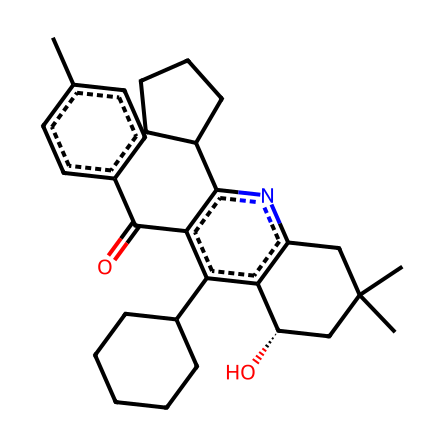 Cc1ccc(C(=O)c2c(C3CCCC3)nc3c(c2C2CCCCC2)[C@@H](O)CC(C)(C)C3)cc1